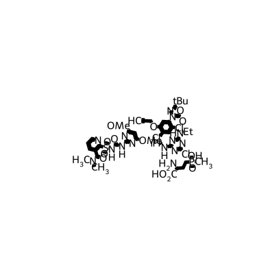 C#CCOc1cc(-n2nc(C(C)(C)C)oc2=O)c(Cl)cc1Cl.CCNc1nc(Cl)nc(NC(C)C)n1.COc1cc(OC)nc(NC(=O)NS(=O)(=O)c2ncccc2C(=O)N(C)C)n1.CP(=O)(O)CCC(N)C(=O)O